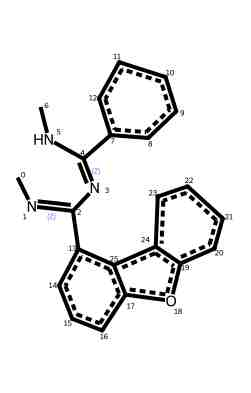 C/N=C(\N=C(/NC)c1ccccc1)c1cccc2oc3ccccc3c12